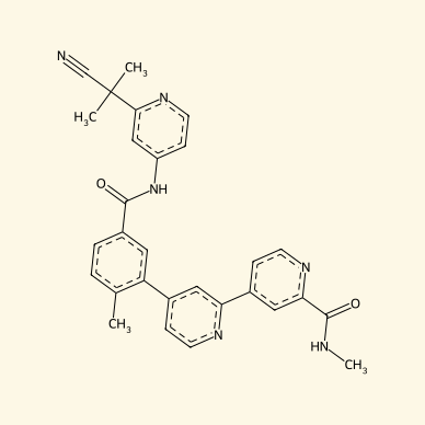 CNC(=O)c1cc(-c2cc(-c3cc(C(=O)Nc4ccnc(C(C)(C)C#N)c4)ccc3C)ccn2)ccn1